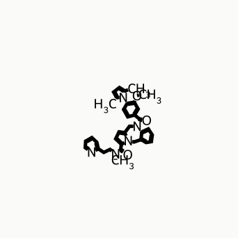 COc1cc(C(=O)N2Cc3ccc(C(=O)N(C)CCc4ccccn4)n3Cc3ccccc32)ccc1-n1c(C)ccc1C